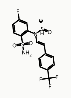 NS(=O)(=O)c1ccc(F)cc1N(C=Cc1ccc(C(F)(F)F)cc1)[SH](=O)=O